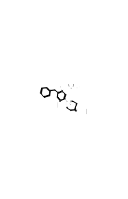 COc1cc(N2CCC(O)CC2)c(F)cc1Cc1ccccc1